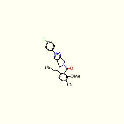 COc1c(C#N)ccc(C=CC(C)(C)C)c1C(=O)N1Cc2cn(-c3ccc(F)cc3)nc2C1